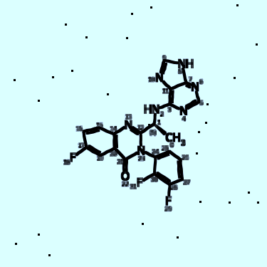 C[C@H](Nc1ncnc2[nH]cnc12)c1nc2ccc(F)cc2c(=O)n1-c1cccc(F)c1F